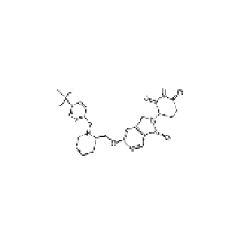 CC(C)(C)c1ccc(CN2CCCC[C@@H]2COc2ccc3c(c2)CN(C2CCC(=O)NC2=O)C3=O)cc1